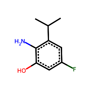 CC(C)c1cc(F)cc(O)c1N